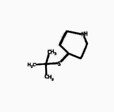 CC(C)(C)SC1CCNCC1